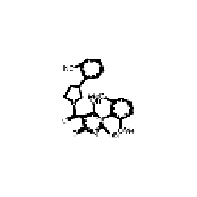 CCCCc1nc(=O)c(C(=O)N2CCC(c3ccccc3C#N)C2)c(O)n1-c1c(OC)cccc1OC